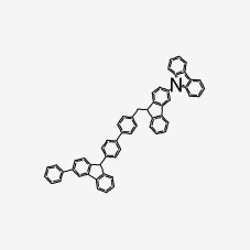 c1ccc(-c2ccc3c(c2)-c2ccccc2C3c2ccc(-c3ccc(CC4c5ccccc5-c5cc(-n6c7ccccc7c7ccccc76)ccc54)cc3)cc2)cc1